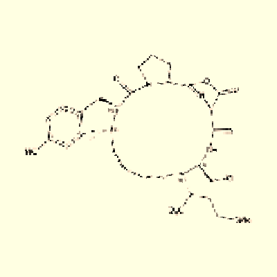 CSCCC(C(=O)O)[C@@H]1CCCC[C@H](C)[C@@H](Cc2ccc(O)cc2)C(=O)N2CCCC2C2=NC(C(=O)O2)C(=S)N[C@H]1CO